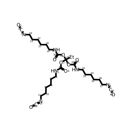 CCC(OC(=O)NCCCCCCN=C=O)(OC(=O)NCCCCCCN=C=O)OC(=O)NCCCCCCN=C=O